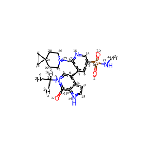 [2H]C([2H])([2H])n1cc(-c2cc(S(=O)(=O)NC(C)C)cnc2N2CCC3(CC2)CC3)c2cc[nH]c2c1=O